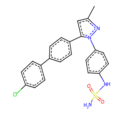 Cc1cc(-c2ccc(-c3ccc(Cl)cc3)cc2)n(-c2ccc(NS(N)(=O)=O)cc2)n1